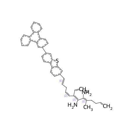 C=CCC/C(C)=C(N)/C(N)=C(C=C)/C=C\C/C=C/c1ccc2c(c1)sc1cc(-c3ccc4c5ccccc5c5ccccc5c4c3)ccc12